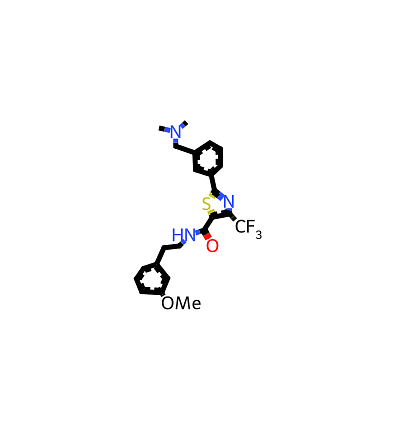 COc1cccc(CCNC(=O)c2sc(-c3cccc(CN(C)C)c3)nc2C(F)(F)F)c1